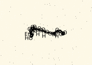 CCc1c2c(nc3ccc(O)cc13)-c1cc3c(c(=O)n1C2)COC(=O)[C@@]3(CC)OC(=O)CNC(=O)COCC(=O)NCCOCCOCCn1cc(CNC(=O)C2CCC(CN3C(=O)C=CC3=O)CC2)nn1